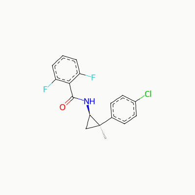 C[C@]1(c2ccc(Cl)cc2)C[C@H]1NC(=O)c1c(F)cccc1F